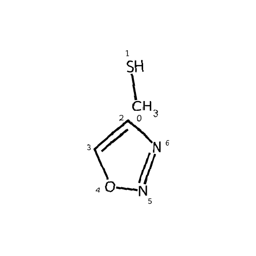 CS.c1conn1